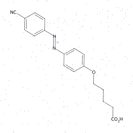 N#Cc1ccc(/N=N/c2ccc(OCCCCC(=O)O)cc2)cc1